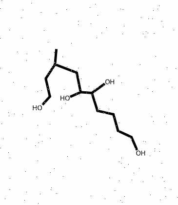 CC(CCO)CC(O)C(O)CCCCO